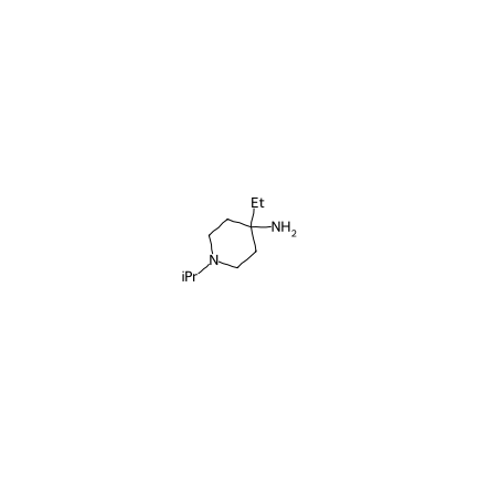 CCC1(N)CCN(C(C)C)CC1